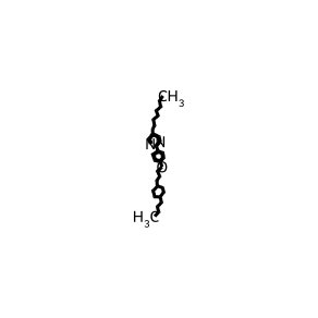 CCCCCCCCc1cnc(-c2ccc(OCCCC3CCC(CCCC)CC3)cc2)nc1